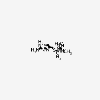 C/N=C(/NC)NC(C)SCc1csc(N=C(N)N)n1